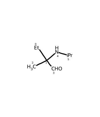 CCC(C)(C=O)NC(C)C